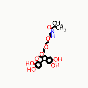 C=C(C)C(=O)NCCOCCOCCOC12COc3c(ccc(O)c3O)C1c1cc(O)c(O)cc1C2